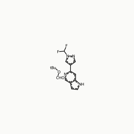 CC(C)(C)OC=O.FC(F)n1cc(-c2cc3[nH]ccc3cn2)cn1